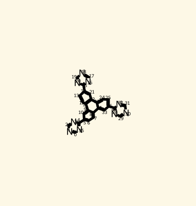 c1ncnc(-c2ccc3c(c2)c2ccc(-c4ncncn4)cc2c2ccc(-c4ncncn4)cc32)n1